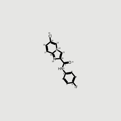 O=C(Nc1ccc(F)cc1)c1cn2cc(Cl)ccc2n1